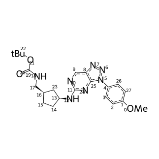 COc1ccc(-n2nnc3cnc(N[C@H]4CC[C@@H](CNC(=O)OC(C)(C)C)C4)nc32)cc1